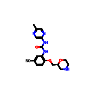 Cc1cnc(NC(=O)Nc2cc(C#N)ccc2OC[C@@H]2CNCCO2)cn1